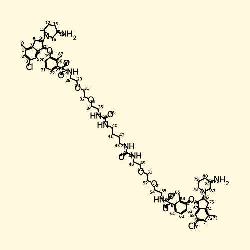 Cc1cc(Cl)cc2c1C[C@H](N1CCC[C@@H](N)C1)[C@H]2Oc1cccc(S(=O)(=O)NCCOCCOCCNC(=O)NCCCCNC(=O)NCCOCCOCCNS(=O)(=O)c2cccc(O[C@H]3c4cc(Cl)cc(C)c4C[C@@H]3N3CCC[C@@H](N)C3)c2C)c1C